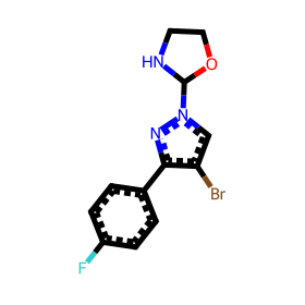 Fc1ccc(-c2nn(C3NCCO3)cc2Br)cc1